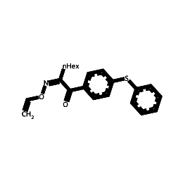 C=CO/N=C(/CCCCCC)C(=O)c1ccc(Sc2ccccc2)cc1